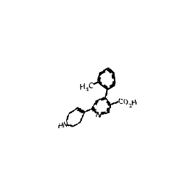 Cc1ccccc1-c1cc(C2=CCNCC2)ncc1C(=O)O